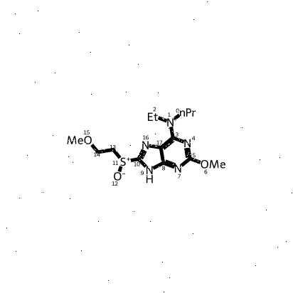 CCCN(CC)c1nc(OC)nc2[nH]c([S+]([O-])CCOC)nc12